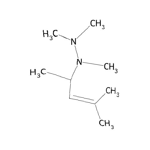 CC(C)=CC(C)N(C)N(C)C